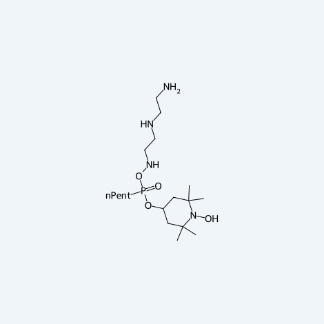 CCCCCP(=O)(ONCCNCCN)OC1CC(C)(C)N(O)C(C)(C)C1